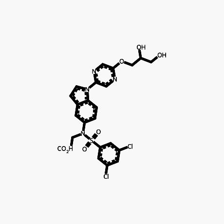 O=C(O)CN(c1ccc2c(ccn2-c2cnc(OCC(O)CO)cn2)c1)S(=O)(=O)c1cc(Cl)cc(Cl)c1